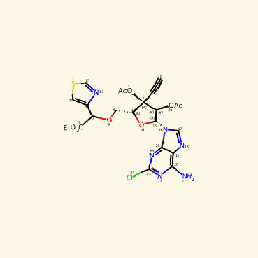 C#C[C@@]1(OC(C)=O)[C@@H](COC(C(=O)OCC)c2cscn2)O[C@@H](n2cnc3c(N)nc(Cl)nc32)[C@@H]1OC(C)=O